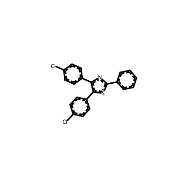 Clc1ccc(-c2nc(-c3ccccc3)sc2-c2ccc(Cl)cc2)cc1